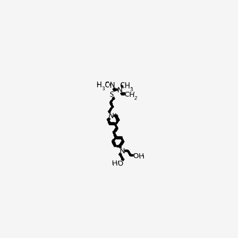 C=CN(C)/C(=N/C)SCCCC[n+]1ccc(/C=C/c2ccc(N(CCO)CCO)cc2)cc1